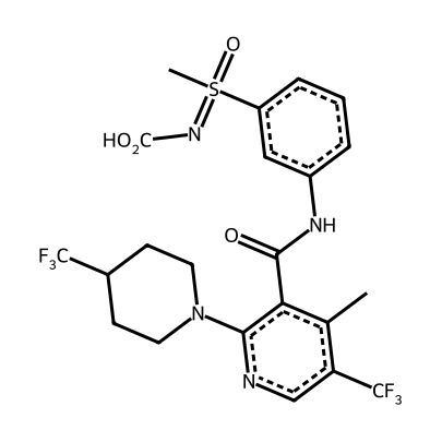 Cc1c(C(F)(F)F)cnc(N2CCC(C(F)(F)F)CC2)c1C(=O)Nc1cccc(S(C)(=O)=NC(=O)O)c1